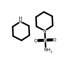 C1CCNCC1.NS(=O)(=O)N1CCCCC1